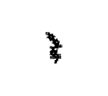 CCCS(=O)(=O)Nc1c(O)ccc(C(=O)c2c[nH]c3ncc(-c4ccc(Cl)cc4)cc23)c1F